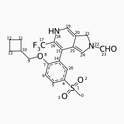 CS(=O)(=O)c1ccc(OCC2CCC2)c(C2=C(C(F)(F)F)NC=C3CN(C=O)C=C32)c1